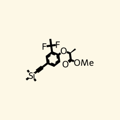 COC(=O)[C@H](C)Oc1ccc(C#C[Si](C)(C)C)cc1C(C)(F)F